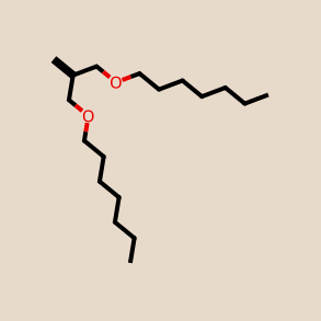 C=C(COCCCCCCC)COCCCCCCC